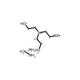 N.NN.OCCN(CCO)CCO